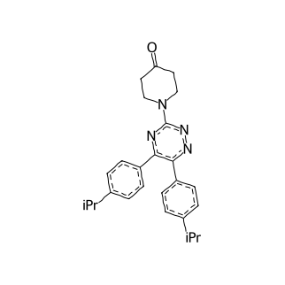 CC(C)c1ccc(-c2nnc(N3CCC(=O)CC3)nc2-c2ccc(C(C)C)cc2)cc1